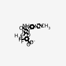 CCc1nc(C(N)=O)c(Nc2ccc(N3CCN(C)CC3)cc2)nc1Oc1cc([N+](=O)[O-])cc(C(F)(F)F)c1